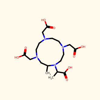 CC1CN(CC(=O)O)CCN(CC(=O)O)CCN(CC(=O)O)CCN1C(C)C(=O)O